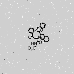 CC(=O)N1[C@H](CC2CCCCC2)C(=O)N(Cc2ccccc2)c2ccccc2C(=O)C[C@H]1C(=O)NCC(=O)O